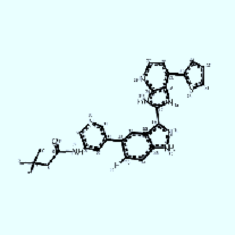 CC(C)(C)CC(=O)Nc1cncc(-c2cc3c(-c4nc5c(-c6cccs6)ccnc5[nH]4)n[nH]c3cc2F)c1